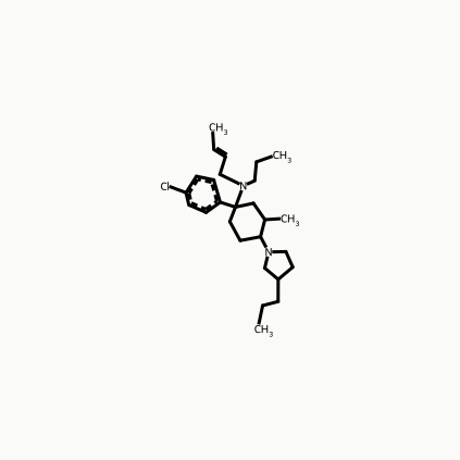 CC=CCN(CCC)C1(c2ccc(Cl)cc2)CCC(N2CCC(CCC)C2)C(C)C1